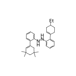 CCC1CC=C(c2ccccc2NNc2ccccc2C2=CC(C)(C)CC(C)(C)C2)CC1